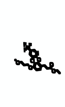 CCOC(=O)CCc1ccc(OCCCOC)cc1Oc1ncc(C(F)(F)F)cc1Cl